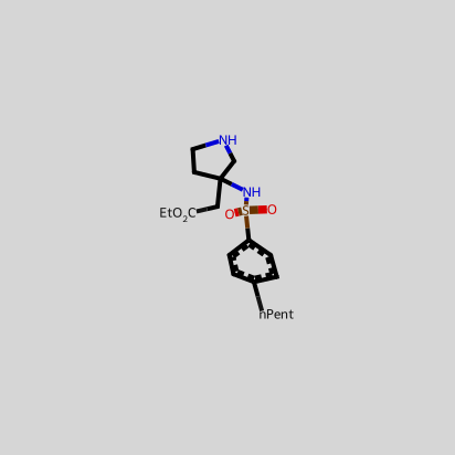 CCCCCc1ccc(S(=O)(=O)NC2(CC(=O)OCC)CCNC2)cc1